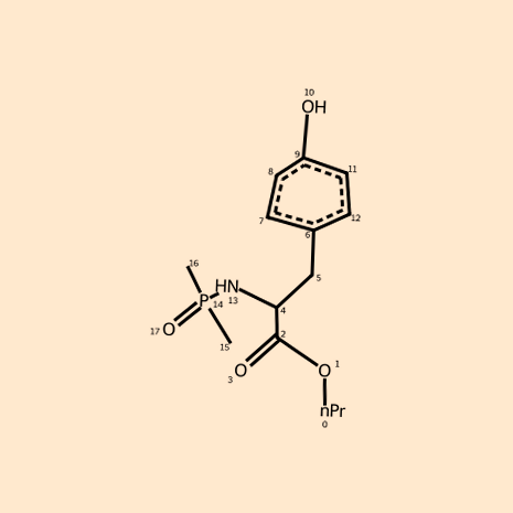 CCCOC(=O)C(Cc1ccc(O)cc1)NP(C)(C)=O